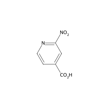 O=C(O)c1ccnc([N+](=O)[O-])c1